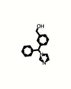 OCc1[c]ccc(C(c2ccccc2)n2ccnc2)c1